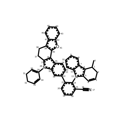 CC1CC=Cc2c1c1ccccc1n2-c1c(C#N)cccc1-c1ccc2c3c(n(C4=CCCC=C4)c2c1)CCc1c-3oc2ccccc12